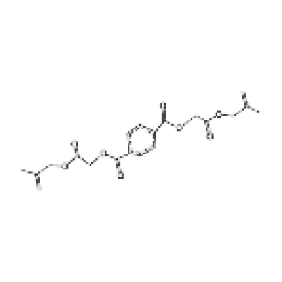 C=C(C)COC(=O)COC(=O)c1ccc(C(=O)OCC(=O)OCC(=C)C)cc1